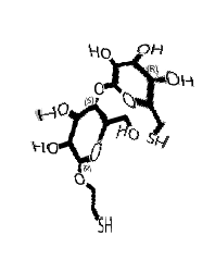 OCC1O[C@@H](OCCS)C(O)C(O)[C@@H]1OC1=C(O)C(O)[C@@H](O)C(CS)O1